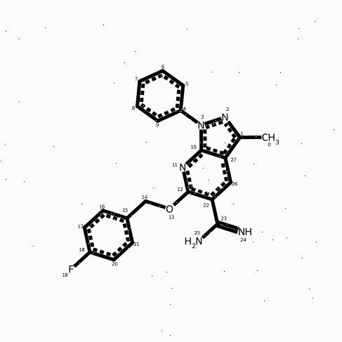 Cc1nn(-c2ccccc2)c2nc(OCc3ccc(F)cc3)c(C(=N)N)cc12